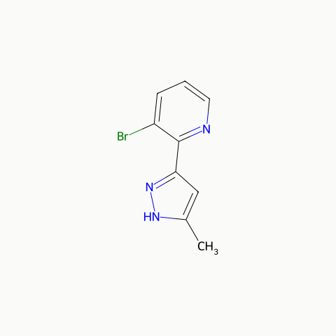 Cc1cc(-c2ncccc2Br)n[nH]1